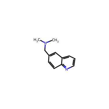 CN(C)Cc1ccc2ncccc2c1